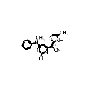 CC1=CS/C(=C(/C#N)c2cc(N(C)c3ccccc3)nc(Cl)n2)N1